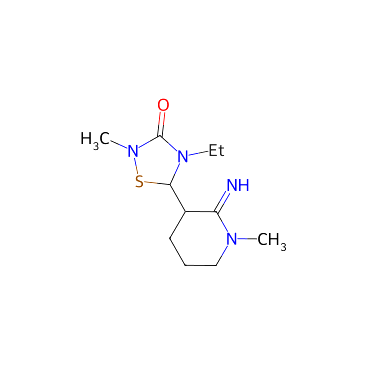 CCN1C(=O)N(C)SC1C1CCCN(C)C1=N